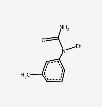 [CH2]CN(C(N)=O)c1cccc(C)c1